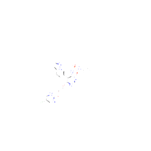 CCCNS(=O)(=O)Nc1ncnc(OCCOc2ncc(Br)cn2)c1-c1ccc2ccnn2c1